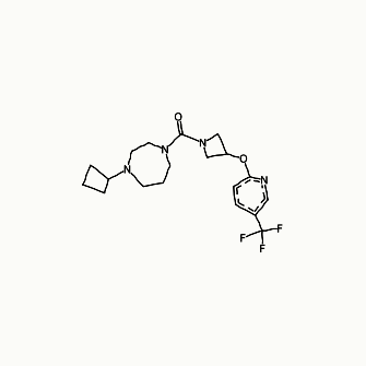 O=C(N1CCCN(C2CCC2)CC1)N1CC(Oc2ccc(C(F)(F)F)cn2)C1